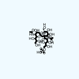 CC(=O)N[C@H]1[C@H]([C@H](O)[C@H](O)CO)O[C@](O)(CC2(C(=O)[C@H](NC(C)=O)[C@@H](O)[C@H](O)[C@H](O)COS(=O)(=O)O)O[C@H](CO)[C@H](O)[C@H](O)[C@H]2O)C[C@@H]1O